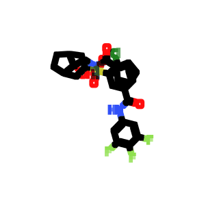 O=C(NC[C@]1(O)C2CCC1C[C@@H](S(=O)(=O)c1cc(C(=O)Nc3cc(F)c(F)c(F)c3)ccc1Cl)C2)C1=CCCC1